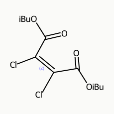 CC(C)COC(=O)/C(Cl)=C(/Cl)C(=O)OCC(C)C